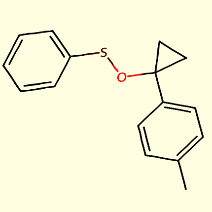 Cc1ccc(C2(OSc3ccccc3)CC2)cc1